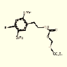 CCOC(=O)OCOC(=O)NCCc1cc(OC)c(Br)cc1OC